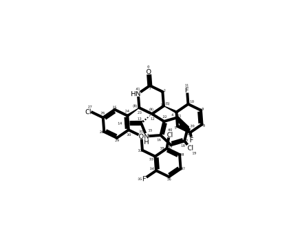 O=C1C[C@@H](C2C=C(F)C=CC2F)[C@]2(C(=O)Nc3cc(Cl)ccc32)[C@@H](c2cc(Cl)ccc2OCc2c(F)cccc2Cl)N1